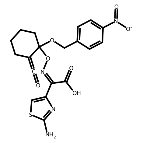 Nc1nc(C(=NOC2(OCc3ccc([N+](=O)[O-])cc3)CCCCC2=C=O)C(=O)O)cs1